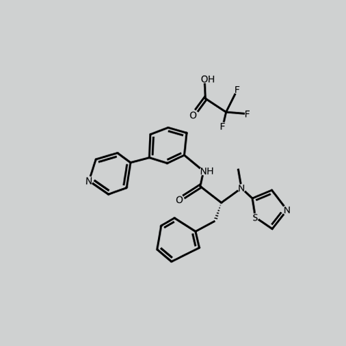 CN(c1cncs1)[C@H](Cc1ccccc1)C(=O)Nc1cccc(-c2ccncc2)c1.O=C(O)C(F)(F)F